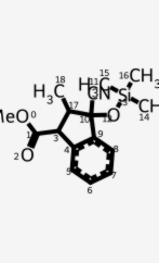 COC(=O)C1c2ccccc2C(C#N)(O[Si](C)(C)C)C1C